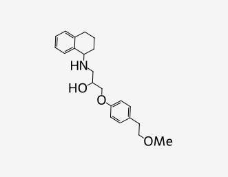 COCCc1ccc(OCC(O)CNC2CCCc3ccccc32)cc1